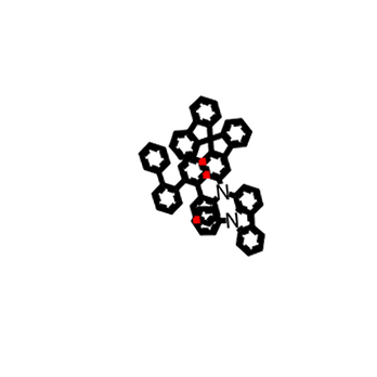 c1ccc(-c2ccccc2-c2ccccc2-c2ccccc2N(c2ccc3c(c2)-c2ccccc2C32c3ccccc3-c3ccccc32)c2cccc3c4ccccc4n(-c4ccccc4)c23)cc1